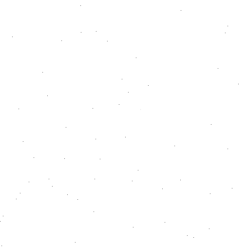 CC=Cc1ccc(OC(=O)c2ccoc2)c(OC)c1